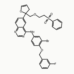 O=S(=O)(CCOCC1(c2ccc3ncnc(Nc4ccc(OCc5cccc(F)c5)c(Br)c4)c3c2)CC=CO1)c1ccccc1